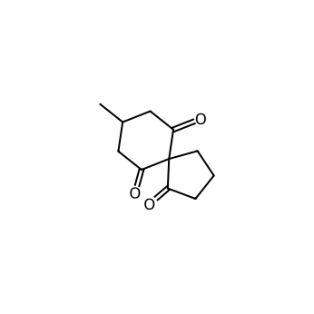 CC1CC(=O)C2(CCCC2=O)C(=O)C1